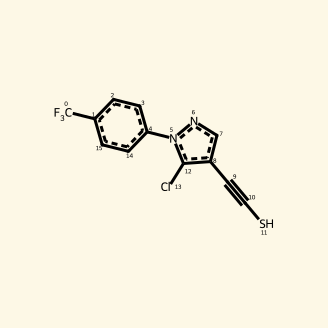 FC(F)(F)c1ccc(-n2ncc(C#CS)c2Cl)cc1